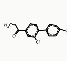 CCC(=O)c1ccc(-c2ccc(F)cc2)c(Cl)c1